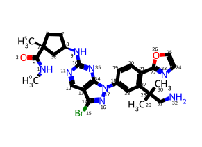 CNC(=O)[C@]1(C)CC[C@@H](Nc2ncc3c(Br)nn(-c4ccc(-c5ncco5)c(C(C)(C)CN)c4)c3n2)C1